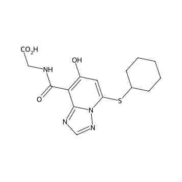 O=C(O)CNC(=O)c1c(O)cc(SC2CCCCC2)n2ncnc12